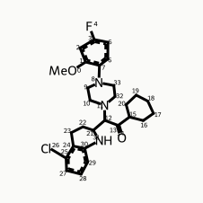 COc1cc(F)ccc1N1CCN(C(C(=O)C2CCCCC2)C2CCc3c(Cl)cccc3N2)CC1